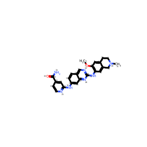 COc1cc2c(cc1Nc1ncc3ccc(Nc4cc(C(N)=O)ccn4)cc3n1)CN(C)CC2